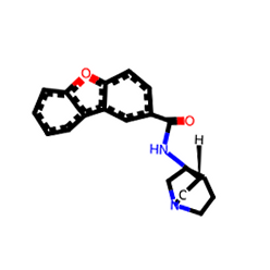 O=C(N[C@H]1CN2CCC1CC2)c1ccc2oc3ccccc3c2c1